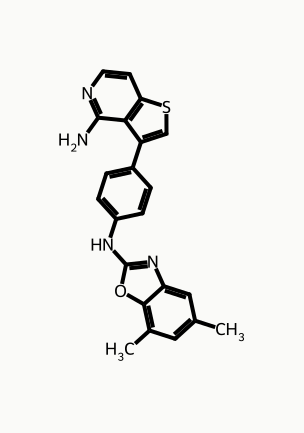 Cc1cc(C)c2oc(Nc3ccc(-c4csc5ccnc(N)c45)cc3)nc2c1